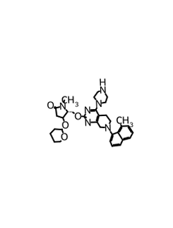 Cc1cccc2cccc(N3CCc4c(nc(OC[C@@H]5C(OC6CCCCO6)CC(=O)N5C)nc4N4CCNCC4)C3)c12